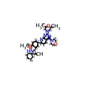 C#CC1(NCc2cc(-c3ccc4c(N5CCOCC5)nc(N5CC(C)OC(C)C5)nc4n3)ccc2OC)CCCCC1